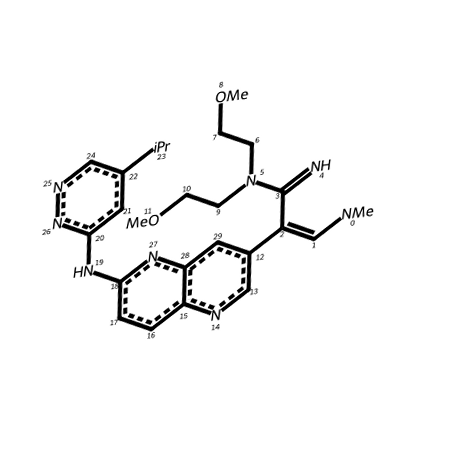 CN/C=C(\C(=N)N(CCOC)CCOC)c1cnc2ccc(Nc3cc(C(C)C)cnn3)nc2c1